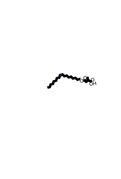 CCCCCCCC/C=C\CCCCCCCCOc1cc(C(=O)O)co1